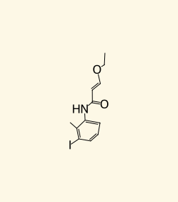 CCO/C=C/C(=O)Nc1cccc(I)c1C